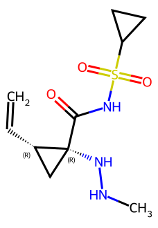 C=C[C@H]1C[C@]1(NNC)C(=O)NS(=O)(=O)C1CC1